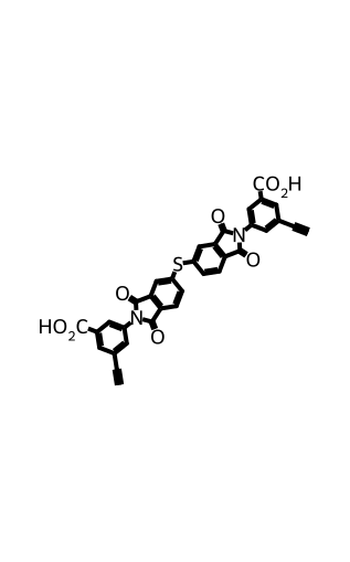 C#Cc1cc(C(=O)O)cc(N2C(=O)c3ccc(Sc4ccc5c(c4)C(=O)N(c4cc(C#C)cc(C(=O)O)c4)C5=O)cc3C2=O)c1